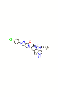 CCc1cc(N2Cc3cn(-c4ccc(Cl)cc4)nc3C2=O)cnc1C1(N(C)C(=O)O)CCNC1